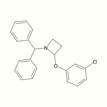 Clc1cccc(OC2CCN2C(c2ccccc2)c2ccccc2)c1